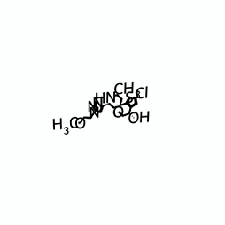 COCCn1cc([C@@H]2C[C@]3(C[C@H](C)N2)OC[C@@H](O)c2cc(Cl)sc23)nn1